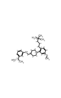 [CH2][C@@H](C)c1cccc(OCC2CCN(c3cc(OC)ccc3CCCC(C)(C)C)CC2)c1